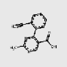 C#Cc1ccccc1-c1nc(C)ncc1C(=O)O